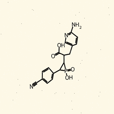 N#Cc1ccc(C2C(C(Cc3ccc(N)nc3)C(=O)O)P2(=O)O)cc1